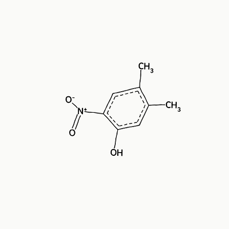 Cc1cc(O)c([N+](=O)[O-])cc1C